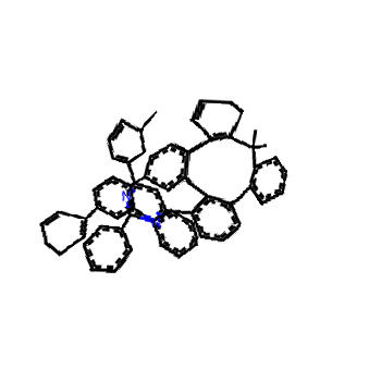 CC1C=CC=C(c2cc(-c3cccc4c3-c3cc(-c5ccc(C6=CCCC=C6)cc5-c5ccccc5)ccc3C3=C(CCC=C3)C(C)(C)c3ccccc3-4)nc(-c3ccccc3)n2)C1